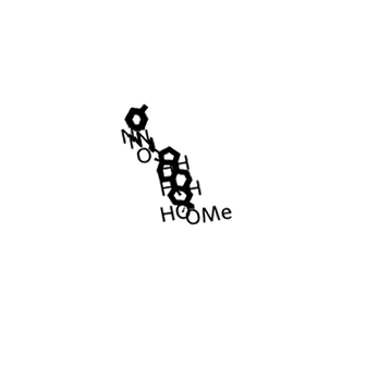 COC[C@@]1(O)CC[C@@]2(C)[C@@H](CC[C@@H]3[C@@H]2CC[C@]2(C)[C@@H](C(=O)Cn4nnc5ccc(C)cc54)CC[C@@H]32)C1